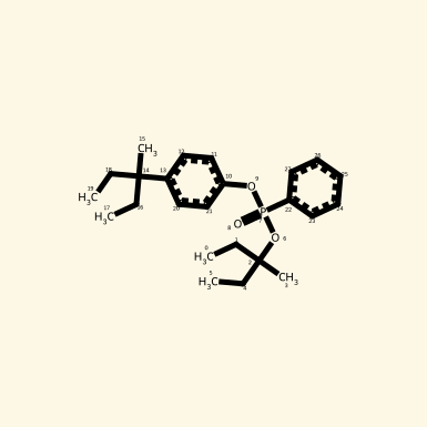 CCC(C)(CC)OP(=O)(Oc1ccc(C(C)(CC)CC)cc1)c1ccccc1